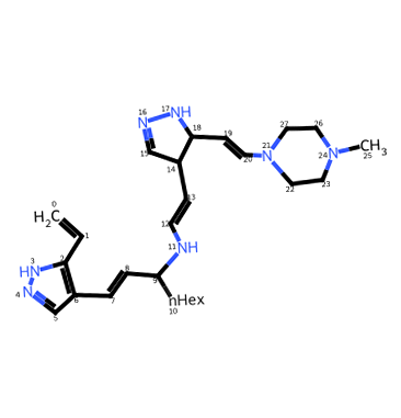 C=Cc1[nH]ncc1/C=C/C(CCCCCC)N/C=C/C1C=NNC1/C=C/N1CCN(C)CC1